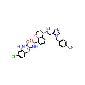 CCN(Cc1cncn1Cc1ccc(C#N)cc1)C1CCOc2c(C(=O)N[C@@H](Cc3ccc(Cl)cc3)C(N)=O)cccc21